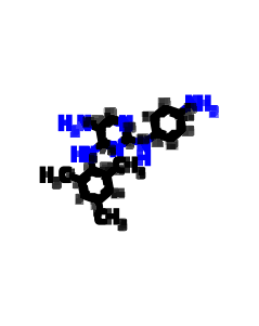 Cc1cc(C)c(Nc2nc(Nc3ccc(N)cc3)ncc2N)c(C)c1